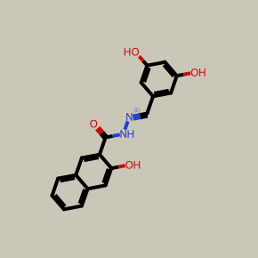 O=C(N/N=C/c1cc(O)cc(O)c1)c1cc2ccccc2cc1O